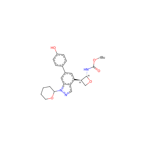 CC(C)(C)OC(=O)N[C@@H]1OC[C@H]1c1cc(-c2ccc(O)cc2)cc2c1cnn2C1CCCCO1